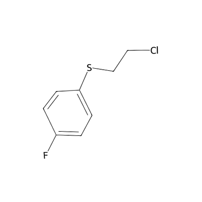 Fc1ccc(SCCCl)cc1